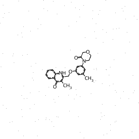 Cc1cc(OCc2[nH]c3ccccc3c(=O)c2C)cc(N2CCOCC2=O)c1